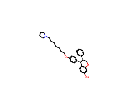 Oc1ccc2c(c1)OC[C@H](c1ccccc1)[C@@H]2c1ccc(OCCCCCCCN2CCCC2)cc1